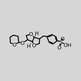 O=S(=O)(O)c1ccc(CC2CO[C@H]3C(OC4CCCCO4)CO[C@@H]23)cc1